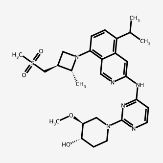 CO[C@H]1CN(c2nccc(Nc3cc4c(C(C)C)ccc(N5C[C@H](CS(C)(=O)=O)[C@H]5C)c4cn3)n2)CC[C@@H]1O